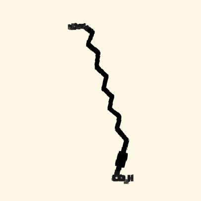 CCCCCCCCCCCCCCCCCCCCCC#CC(=O)O